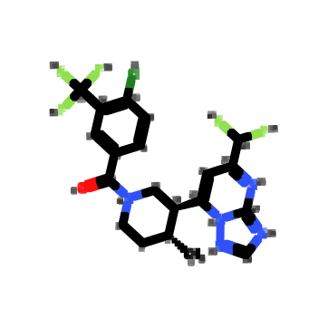 C[C@@H]1CCN(C(=O)c2ccc(Cl)c(C(F)(F)F)c2)C[C@H]1c1cc(C(F)F)nc2ncnn12